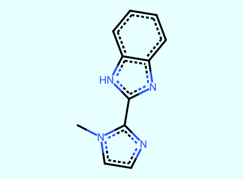 Cn1ccnc1-c1nc2ccccc2[nH]1